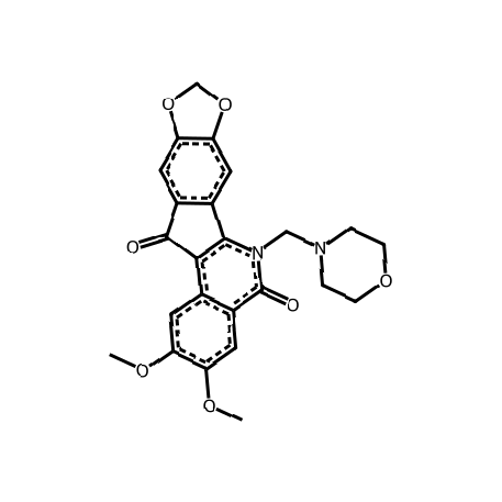 COc1cc2c3c(n(CN4CCOCC4)c(=O)c2cc1OC)-c1cc2c(cc1C3=O)OCO2